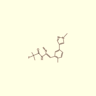 C=N/C(=C\c1cc(-c2cnn(C)c2)ccc1C)NC(=O)C(C)(C)F